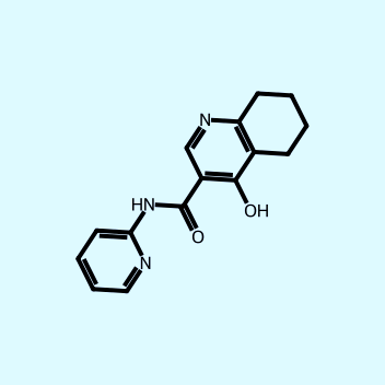 O=C(Nc1ccccn1)c1cnc2c(c1O)CCCC2